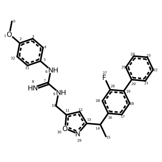 COc1ccc(NC(=N)NCc2cc(C(C)c3ccc(-c4ccccc4)c(F)c3)no2)cc1